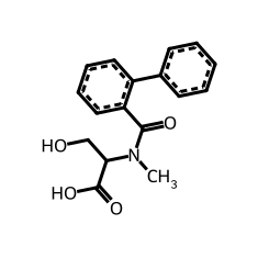 CN(C(=O)c1ccccc1-c1ccccc1)C(CO)C(=O)O